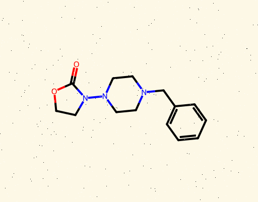 O=C1OCCN1N1CCN(Cc2ccccc2)CC1